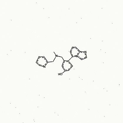 CN(Cc1ccccn1)Cc1cc(O)ccc1-c1cccc2nccn12